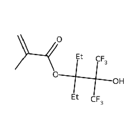 C=C(C)C(=O)OC(CC)(CC)C(O)(C(F)(F)F)C(F)(F)F